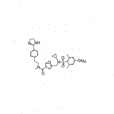 COc1cc(C)c(S(=O)(=O)N(Cc2cc(C(=O)N(C)CCc3ccc(C4=NCCN4)cc3)co2)C2CC2)c(C)c1